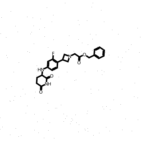 O=C1CCC(Nc2ccc(C3CN(CC(=O)OCc4ccccc4)C3)c(F)c2)C(=O)N1